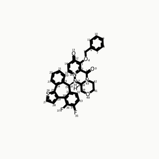 O=C1c2c(OCc3ccccc3)c(=O)ccn2N([C@@H]2c3ccccc3-c3sccc3-c3c2ccc(F)c3F)[C@@H]2COCCN12